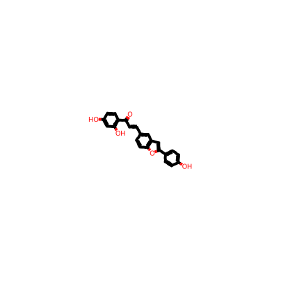 O=C(/C=C/c1ccc2oc(-c3ccc(O)cc3)cc2c1)c1ccc(O)cc1O